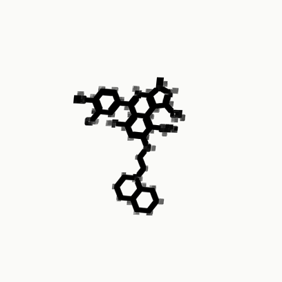 COc1c(OCCN2CCCC3CCCCC32)cc(F)c2c(-c3ccc(O)c(Cl)c3)nc3[nH]nc(C)c3c12